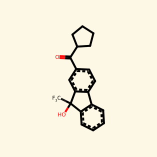 O=C(c1ccc2c(c1)C(O)(C(F)(F)F)c1ccccc1-2)C1CCCC1